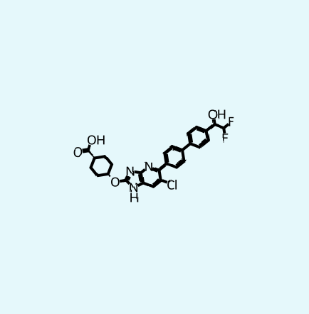 O=C(O)[C@H]1CC[C@H](Oc2nc3nc(-c4ccc(-c5ccc(C(O)C(F)F)cc5)cc4)c(Cl)cc3[nH]2)CC1